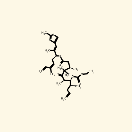 C=CC[C@H](C)[C@H](OC(=O)OCC(Cl)(Cl)Cl)[C@@H](C)C(=O)C(C)(C)[C@@H](C)CC(=O)O[C@@H](C/C=C(\C=C)C(F)(F)F)/C(C)=C/c1csc(C)n1